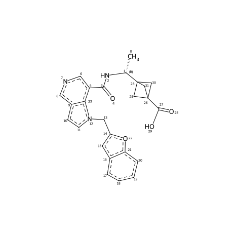 C[C@@H](NC(=O)c1cncc2ccn(Cc3cc4ccccc4o3)c12)C12CC(C(=O)O)(C1)C2